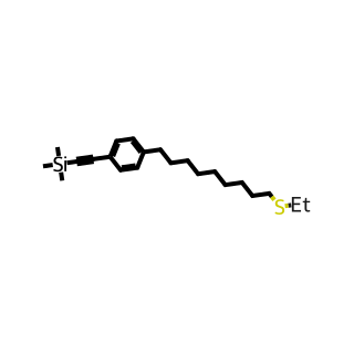 CCSCCCCCCCCCc1ccc(C#C[Si](C)(C)C)cc1